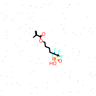 C=C(C)C(=O)OCCCCC(F)(F)C(F)(F)S(=O)(=O)O